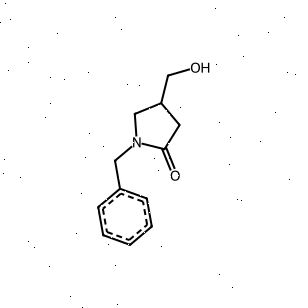 O=C1CC(CO)CN1Cc1ccccc1